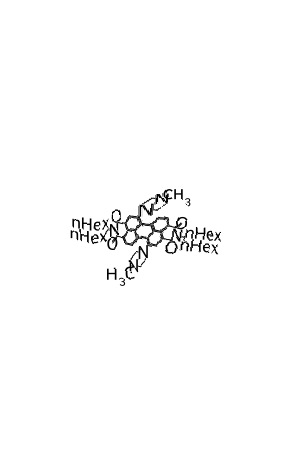 CCCCCCC(CCCCCC)N1C(=O)c2ccc3c4c(N5CCN(C)CC5)cc5c6c(ccc(c7c(N8CCN(C)CC8)cc(c2c37)C1=O)c64)C(=O)N(C(CCCCCC)CCCCCC)C5=O